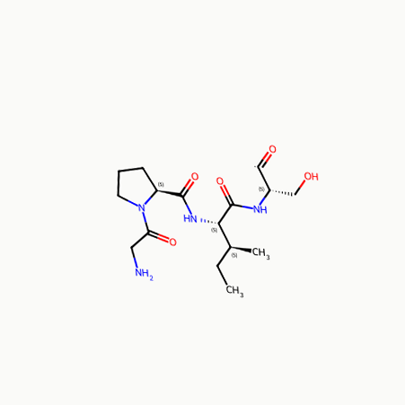 CC[C@H](C)[C@H](NC(=O)[C@@H]1CCCN1C(=O)CN)C(=O)N[C@H]([C]=O)CO